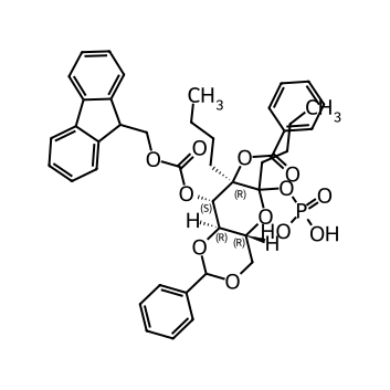 CCCCC1(OP(=O)(O)O)O[C@@H]2COC(c3ccccc3)O[C@H]2[C@H](OC(=O)OCC2c3ccccc3-c3ccccc32)[C@@]1(CCCC)OC(=O)c1ccccc1